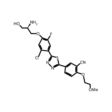 COCCOc1ccc(-c2nnc(-c3cc(F)c(OC[C@H](N)CO)cc3Cl)s2)cc1C#N